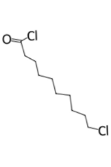 O=C(Cl)CCCCCCCCCCl